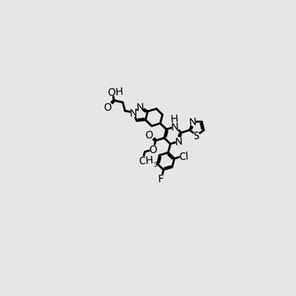 CCOC(=O)C1=C(C2CCc3nn(CCC(=O)O)cc3C2)NC(c2nccs2)=NC1c1ccc(F)cc1Cl